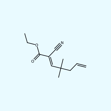 C=CCC(C)(C)/C=C(\C#N)C(=O)OCC